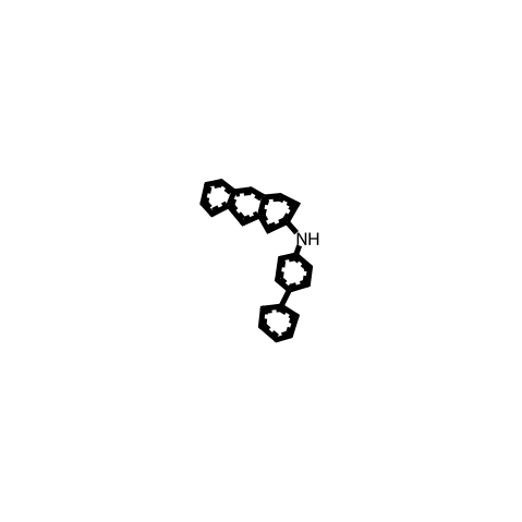 c1ccc(-c2ccc(Nc3ccc4cc5ccccc5cc4c3)cc2)cc1